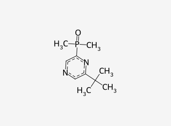 CC(C)(C)c1cncc(P(C)(C)=O)n1